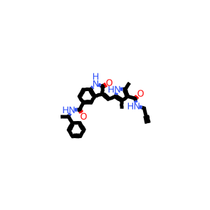 C#CCNC(=O)c1c(C)[nH]c(C=C2C(=O)Nc3ccc(C(=O)NC(C)c4ccccc4)cc32)c1C